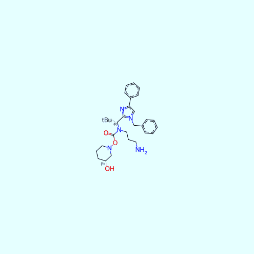 CC(C)(C)[C@H](c1nc(-c2ccccc2)cn1Cc1ccccc1)N(CCCN)C(=O)ON1CCC[C@@H](O)C1